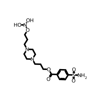 NS(=O)(=O)c1ccc(C(=O)OCCCN2CCN(CCCON(O)O)CC2)cc1